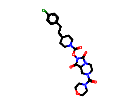 O=C(ON1C(=O)C2CN(C(=O)N3CCOCC3)CCN2C1=O)N1CCC(CCc2ccc(Cl)cc2)CC1